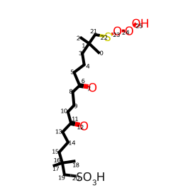 CC(C)(CCCC(=O)CCCC(=O)CCCC(C)(C)CS(=O)(=O)O)CSOOO